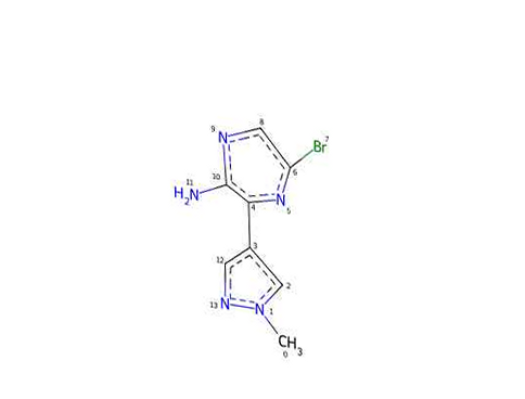 Cn1cc(-c2nc(Br)cnc2N)cn1